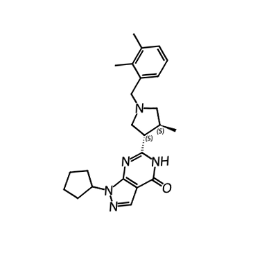 Cc1cccc(CN2C[C@@H](C)[C@H](c3nc4c(cnn4C4CCCC4)c(=O)[nH]3)C2)c1C